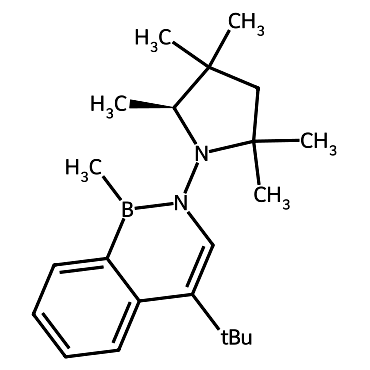 CB1c2ccccc2C(C(C)(C)C)=CN1N1[C@@H](C)C(C)(C)CC1(C)C